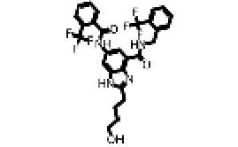 O=C(Nc1cc(C(=O)NCc2ccccc2C(F)(F)F)c2nc(CCCCO)[nH]c2c1)c1ccccc1C(F)(F)F